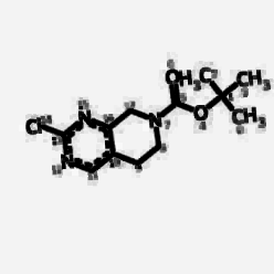 CC(C)(C)OC(=O)N1CCc2cnc(Cl)nc2C1